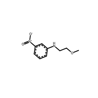 COCCNc1cc[c]c([N+](=O)[O-])c1